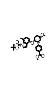 COC(=O)c1ccc([C@@H]2C[C@@H](OC)CC[C@H]2Oc2ccc(C)c3c2ccn3C(=O)OC(C)(C)C)cc1